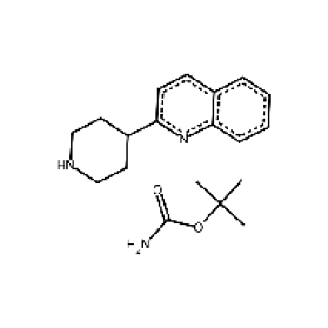 CC(C)(C)OC(N)=O.c1ccc2nc(C3CCNCC3)ccc2c1